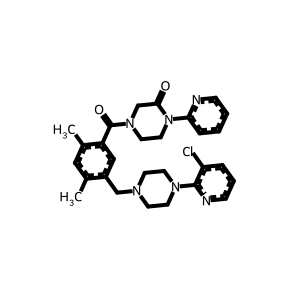 Cc1cc(C)c(C(=O)N2CCN(c3ccccn3)C(=O)C2)cc1CN1CCN(c2ncccc2Cl)CC1